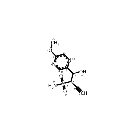 C#C[C@H]([C@H](O)c1cnc(OC)cn1)S(N)(=O)=O